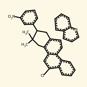 CC1(C)Cc2c(ccc3c2cc(Cl)c2ccccc23)CC1c1cccc([N+](=O)[O-])c1.c1ccc2ncccc2c1